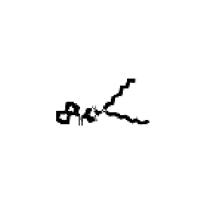 CCCCCCCCN(CCCCCCCC)c1ncc(Nc2cccc3ccccc23)cn1